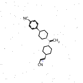 C=C([C@H]1CC[C@H](/C=C/C#N)CC1)[C@H]1CC[C@H](c2ccc(C#N)cc2)CC1